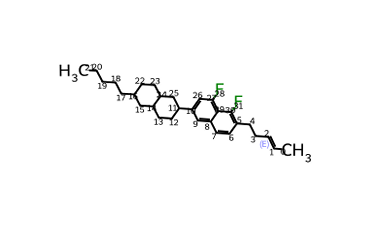 C/C=C/CCc1ccc2cc(C3CCC4CC(CCCCC)CCC4C3)cc(F)c2c1F